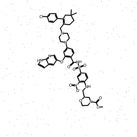 COC(=O)N1CCOC(CNc2ccc(S(=O)(=O)NC(=O)c3ccc(N4CCN(CC5=C(c6ccc(Cl)cc6)CC(C)(C)CC5)CC4)cc3Oc3cnc4[nH]ccc4c3)cc2[N+](=O)[O-])C1